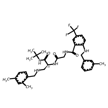 Cc1cccc(CNc2ccc(C(F)(F)F)cc2C(=O)NCC(=O)N[C@@H](CNCc2ccc(C)cc2C)C(=O)NC(C)(C)C)c1